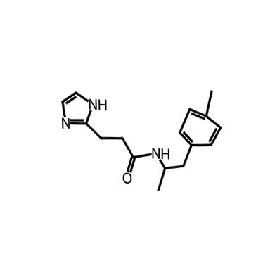 Cc1ccc(CC(C)NC(=O)CCc2ncc[nH]2)cc1